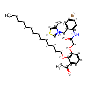 CCCCCCCCCCCCCCOc1c(OCC(=O)Nc2ccccc2C[n+]2cscc2C)cccc1C(C)=O.[Br-]